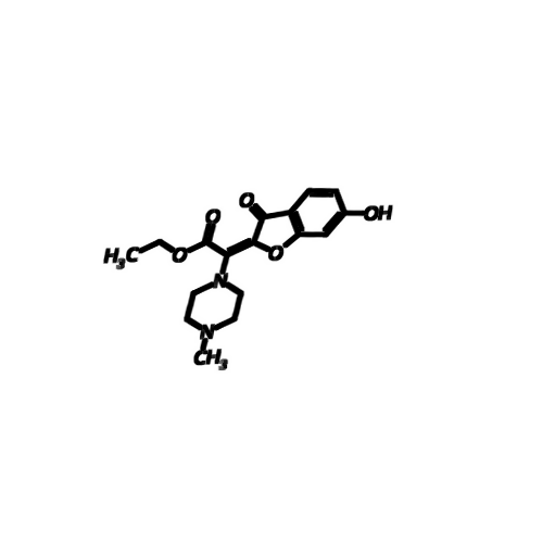 CCOC(=O)C(=C1Oc2cc(O)ccc2C1=O)N1CCN(C)CC1